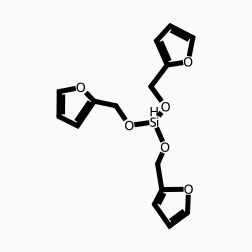 c1coc(CO[SiH](OCc2ccco2)OCc2ccco2)c1